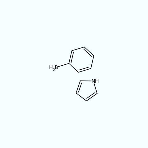 Bc1ccccc1.c1cc[nH]c1